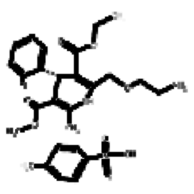 CCOC(=O)C1=C(COCCN)NC(C)=C(C(=O)OC)[C@@H]1c1ccccc1Cl.Cc1ccc(S(=O)(=O)O)cc1